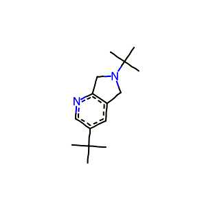 CC(C)(C)c1cnc2c(c1)CN(C(C)(C)C)C2